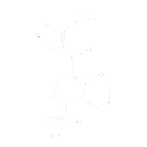 CS(=O)(=O)c1ccc(C(=O)c2cnoc2C2CC2)c2c1SCCO2